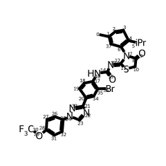 Cc1ccc(C(C)C)c(N2C(=O)CSC2=NC(=O)Nc2ccc(-c3ncn(-c4ccc(OC(F)(F)F)cc4)n3)cc2Br)c1